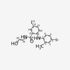 Cc1cc(I)ccc1Nc1ccc(I)cc1C(=O)NC=CO